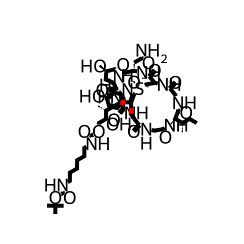 CC[C@H](C)[C@@H]1NC(=O)CNC(=O)C2Cc3c([nH]c4cc(O)ccc34)[S@+]([O-])CC(NC(=O)CNC1=O)C(=O)N[C@@H](CC(N)=O)C(=O)N1C[C@H](O)C[C@H]1C(=O)N[C@@H]([C@@H](C)[C@@H](O)COC(=O)NCCCCCCNC(=O)OC(C)(C)C)C(=O)N2